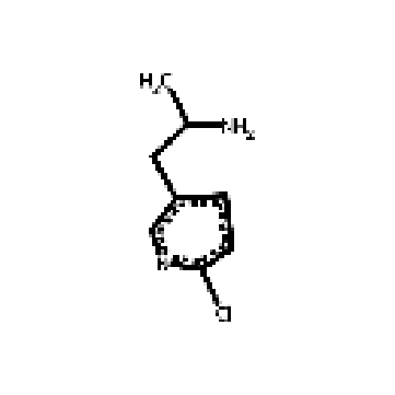 CC(N)Cc1ccc(Cl)nc1